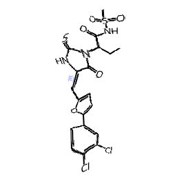 CCC(C(=O)NS(C)(=O)=O)N1C(=O)/C(=C\c2ccc(-c3ccc(Cl)c(Cl)c3)o2)NC1=S